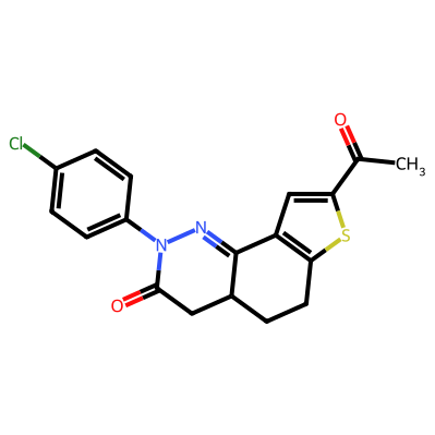 CC(=O)c1cc2c(s1)CCC1CC(=O)N(c3ccc(Cl)cc3)N=C21